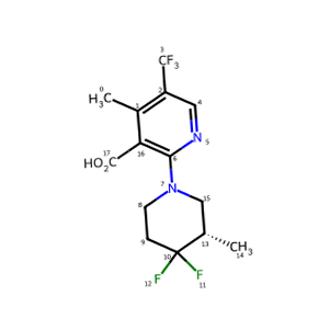 Cc1c(C(F)(F)F)cnc(N2CCC(F)(F)[C@@H](C)C2)c1C(=O)O